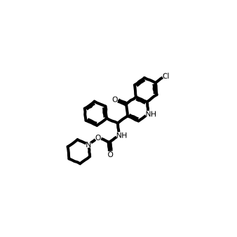 O=C(NC(c1ccccc1)c1c[nH]c2cc(Cl)ccc2c1=O)ON1CCCCC1